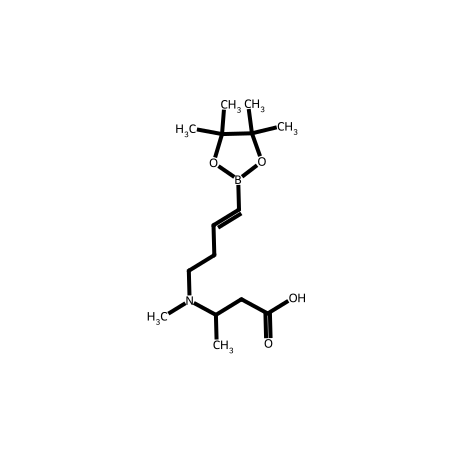 CC(CC(=O)O)N(C)CC/C=C/B1OC(C)(C)C(C)(C)O1